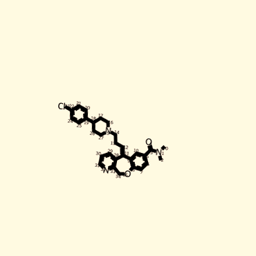 CN(C)C(=O)c1ccc2c(c1)/C(=C/CCN1CCC(c3ccc(Cl)cc3)CC1)c1cccnc1CO2